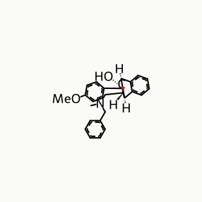 COc1ccc([C@@]2(O)C[C@H]3c4ccccc4[C@@H]2C[C@H]3CN(C)Cc2ccccc2)cc1